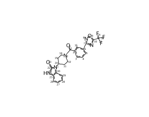 O=C(c1cccc(-c2noc(C(F)(F)F)n2)c1)N1CCC(n2c(=O)[nH]c3ccccc32)CC1